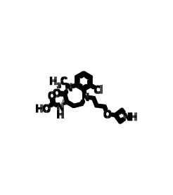 CN1C(=O)[C@@H](NC(=O)O)CCN(CCCOC2CNC2)c2c(Cl)cccc21